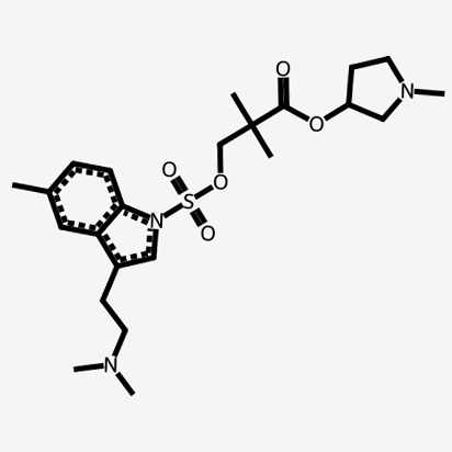 Cc1ccc2c(c1)c(CCN(C)C)cn2S(=O)(=O)OCC(C)(C)C(=O)OC1CCN(C)C1